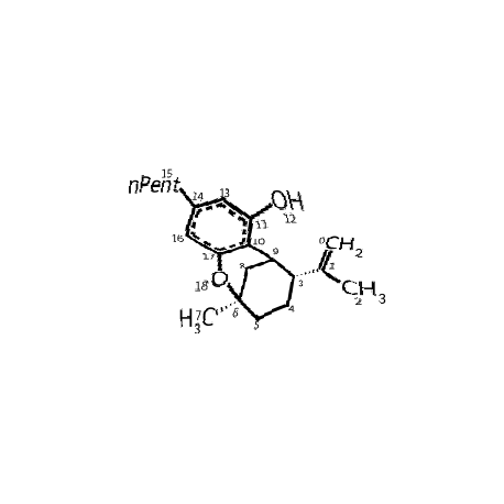 C=C(C)[C@@H]1CC[C@]2(C)CC1c1c(O)cc(CCCCC)cc1O2